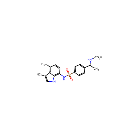 Cc1ccc(NS(=O)(=O)c2ccc(C(C)NC(=O)O)cc2)c2[nH]cc(C#N)c12